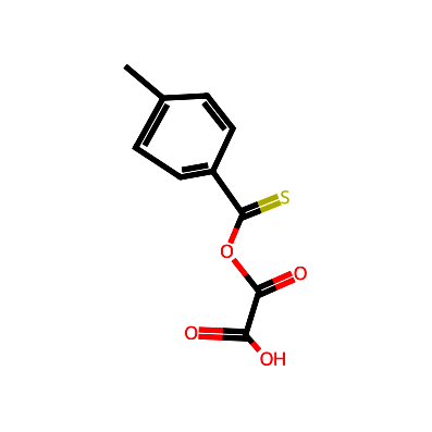 Cc1ccc(C(=S)OC(=O)C(=O)O)cc1